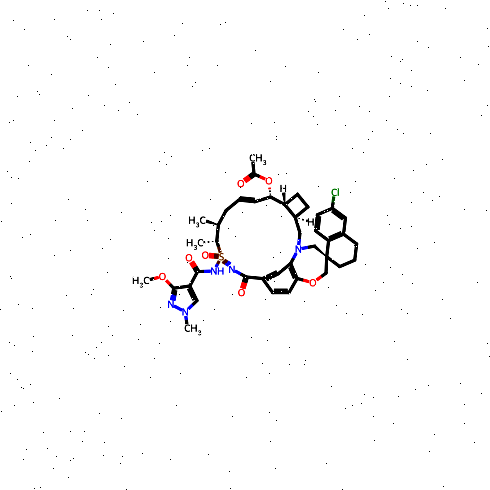 COc1nn(C)cc1C(=O)NS1(=O)=NC(=O)c2ccc3c(c2)N(C[C@@H]2CC[C@H]2[C@@H](OC(C)=O)/C=C/C[C@H](C)[C@H]1C)C[C@@]1(CCCc2cc(Cl)ccc21)CO3